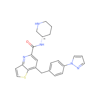 O=C(N[C@H]1CCCNC1)c1cc(Cc2ccc(-n3cccn3)cc2)c2sccc2n1